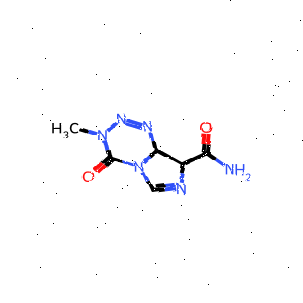 CN1N=NC2C(C(N)=O)N=CN2C1=O